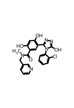 CN(Cc1cccnc1)C(=O)c1cc(-c2nnc(O)n2-c2ccccc2Cl)c(O)cc1O